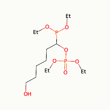 CCOP(OCC)C(CCCCCO)OP(=O)(OCC)OCC